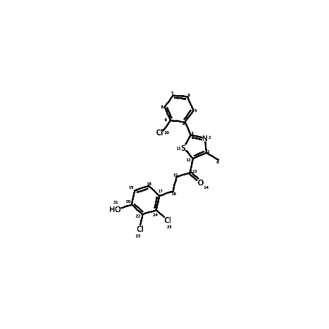 Cc1nc(-c2ccccc2Cl)sc1C(=O)CCc1ccc(O)c(Cl)c1Cl